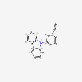 C#Cc1cccc(-n2c3c(c4ccccc42)C=CCC3)c1